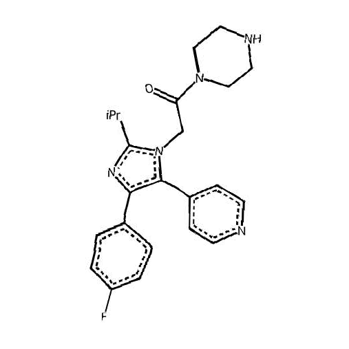 CC(C)c1nc(-c2ccc(F)cc2)c(-c2ccncc2)n1CC(=O)N1CCNCC1